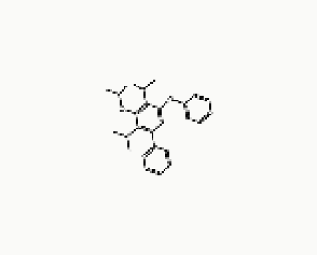 CC(C)Oc1c(C(C)C)c(Oc2ccccc2)cc(-c2ccccc2)c1C(C)C